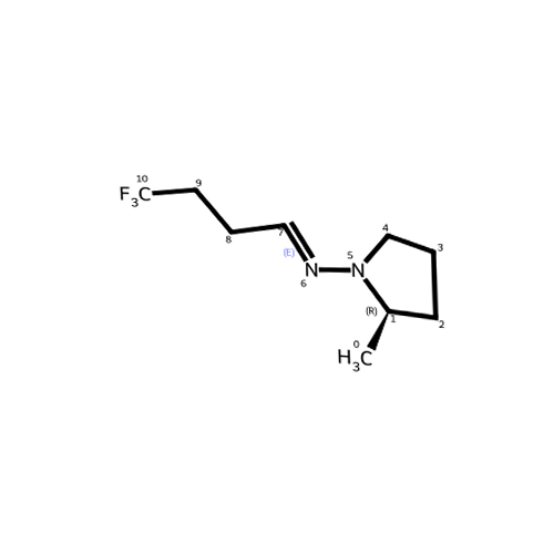 C[C@@H]1CCCN1/N=C/CCC(F)(F)F